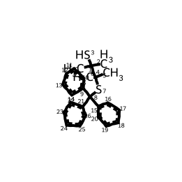 CC(C)(S)C(C)(C)SC(c1ccccc1)(c1ccccc1)c1ccccc1